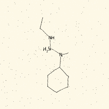 CCN[SiH2]N(C)C1CCCCC1